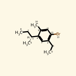 CCc1cc([C@H](C)CC)c(C)cc1Br